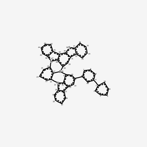 c1ccc(-c2cccc(-c3cc4c5c(c3)c3ccccc3n5-c3cccc5c3B4c3cc4c6ccccc6sc4c4c6ccccc6n-5c34)c2)cc1